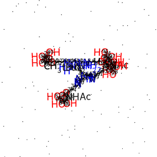 CC(=O)N[C@H]1[C@H](OCCCCCN(N)/C=C(\N)CN(C/C(=C/NCCCCCO[C@@H]2O[C@H](CO)[C@H](O)[C@H](O)[C@H]2C)N=N)C(CCCCN(Cc2cn(CCCCCO[C@@H]3O[C@H](CO)[C@H](O)[C@H](O)[C@H]3C)nn2)Cc2cn(CCCCCO[C@@H]3O[C@H](CO)[C@H](O)[C@H](O)[C@H]3NC(C)=O)nn2)C(C)(C)C)O[C@H](CO)[C@H](O)[C@@H]1O